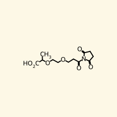 CC(OCCOCCC(=O)N1C(=O)CCC1=O)C(=O)O